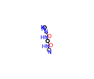 CN1CCC(NC(=O)c2ccc(NC(=O)C3CN(c4cccnn4)C3)cc2)CC1